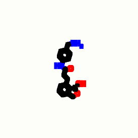 NCc1ccc(NC(=O)CCc2cccc3c2B(O)OC3)cc1